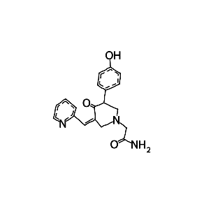 NC(=O)CN1CC(=Cc2ccccn2)C(=O)C(c2ccc(O)cc2)C1